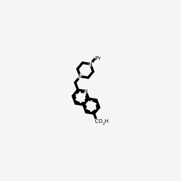 CC(C)N1CCN(Cc2ccc3cc(C(=O)O)ccc3n2)CC1